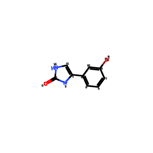 O=C1[N]C(c2cccc(Br)c2)=CN1